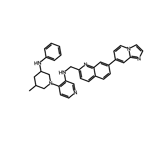 CC1CC(Nc2ccccc2)CN(c2ccncc2NCc2ccc3ccc(-c4ccn5ccnc5c4)cc3n2)C1